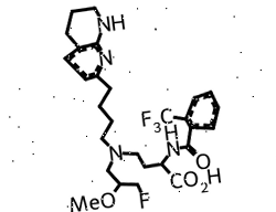 COC(CF)CN(CCCCc1ccc2c(n1)NCCC2)CCC(NC(=O)c1ccccc1C(F)(F)F)C(=O)O